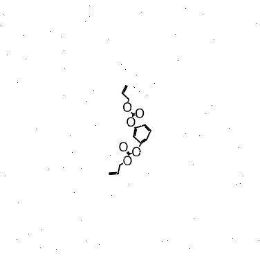 C=CCOC(=O)Oc1cccc(OC(=O)OCC=C)c1